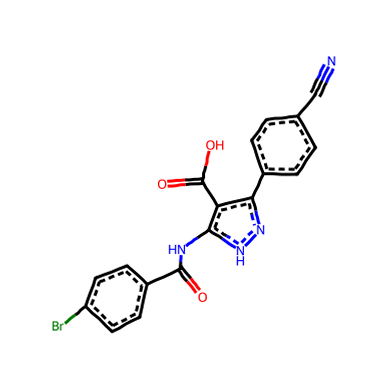 N#Cc1ccc(-c2n[nH]c(NC(=O)c3ccc(Br)cc3)c2C(=O)O)cc1